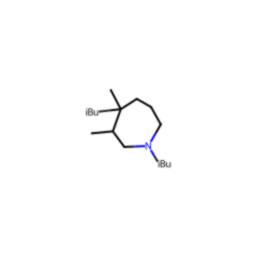 CCC(C)N1CCCC(C)(C(C)CC)C(C)C1